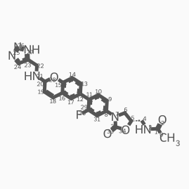 CC(=O)NC[C@H]1CN(c2ccc(-c3ccc4c(c3)C=CC(NCc3cnn[nH]3)O4)c(F)c2)C(=O)O1